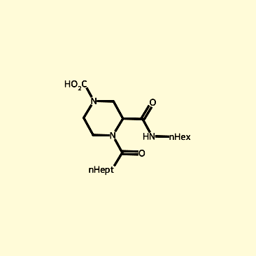 CCCCCCCC(=O)N1CCN(C(=O)O)CC1C(=O)NCCCCCC